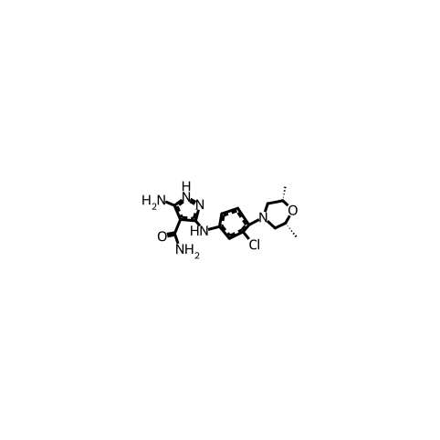 C[C@@H]1CN(c2ccc(Nc3n[nH]c(N)c3C(N)=O)cc2Cl)C[C@H](C)O1